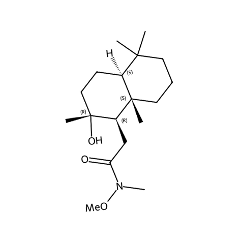 CON(C)C(=O)C[C@@H]1[C@@]2(C)CCCC(C)(C)[C@@H]2CC[C@@]1(C)O